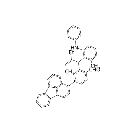 C/C=C(/CC)C(c1cc(-c2ccc3c4c(cccc24)-c2ccccc2-3)ccc1C=O)c1c(C)cccc1Nc1ccccc1